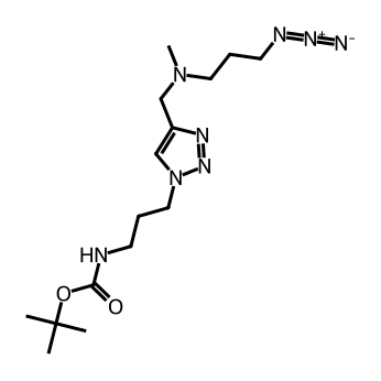 CN(CCCN=[N+]=[N-])Cc1cn(CCCNC(=O)OC(C)(C)C)nn1